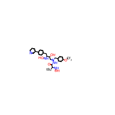 CC(C)(C)C(NO)C(=O)NN(Cc1ccc(OC(F)(F)F)cc1)CC(O)C(Cc1ccc(-c2cccnc2)cc1)NO